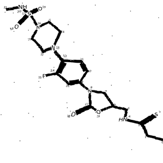 CCC(=S)NCC1CN(c2ccc(N3CCN(S(=O)(=O)NC)CC3)c(F)c2)C(=O)O1